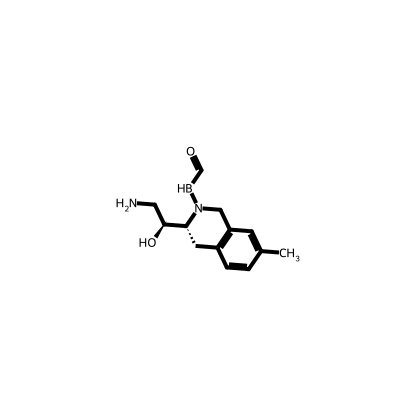 Cc1ccc2c(c1)CN(BC=O)[C@@H]([C@@H](O)CN)C2